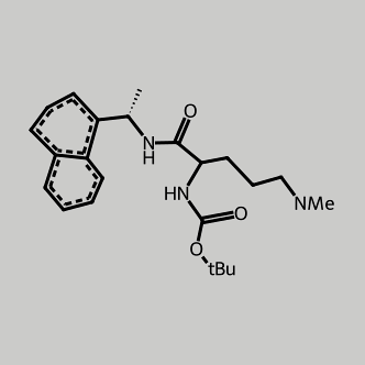 CNCCCC(NC(=O)OC(C)(C)C)C(=O)N[C@@H](C)c1cccc2ccccc12